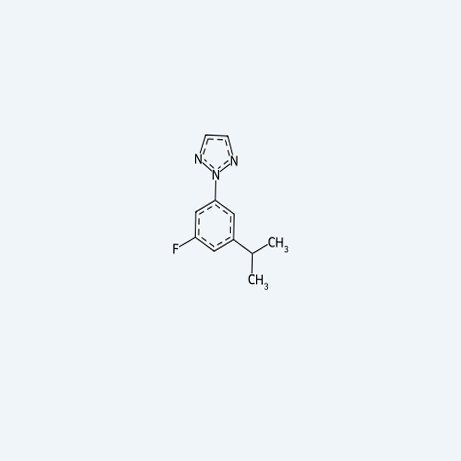 CC(C)c1cc(F)cc(-n2nccn2)c1